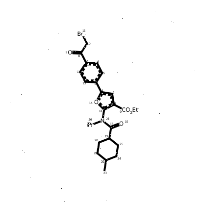 CCOC(=O)c1cc(-c2ccc(C(=O)CBr)cc2)oc1N(C(=O)C1CCC(C)CC1)C(C)C